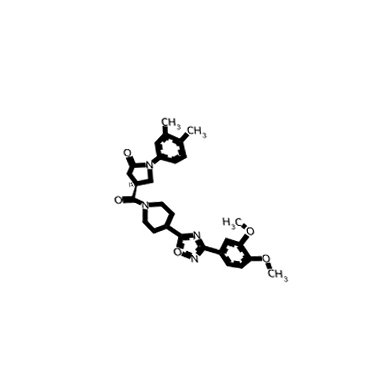 COc1ccc(-c2noc(C3CCN(C(=O)[C@H]4CC(=O)N(c5ccc(C)c(C)c5)C4)CC3)n2)cc1OC